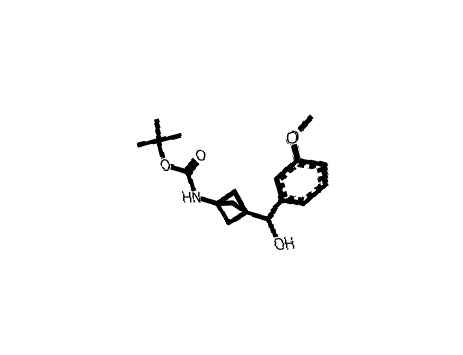 COc1cccc(C(O)C23CC(NC(=O)OC(C)(C)C)(C2)C3)c1